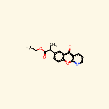 CCOC(=O)C(C)c1ccc2oc3ncccc3c(=O)c2c1